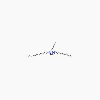 CCCCCCCCCCCC[n+]1ccn(CCCCCCCCCC)c1CCCCC